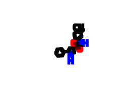 Cc1cc(NS(=O)(=O)c2c[nH]c(-c3ccccc3)c2)ccc1C#N